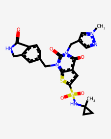 Cn1cc(Cn2c(=O)c3cc(S(=O)(=O)NC4(C)CC4)sc3n(Cc3ccc4c(c3)CNC4=O)c2=O)cn1